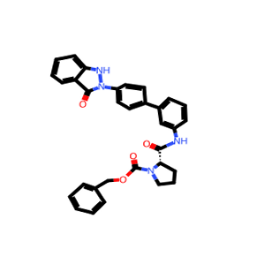 O=C(Nc1cccc(-c2ccc(-n3[nH]c4ccccc4c3=O)cc2)c1)[C@@H]1CCCN1C(=O)OCc1ccccc1